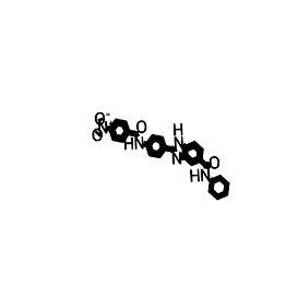 O=C(Nc1ccc(-c2nc3cc(C(=O)NC4CCCCC4)ccc3[nH]2)cc1)c1ccc([N+](=O)[O-])cc1